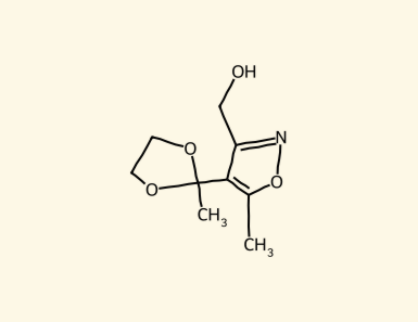 Cc1onc(CO)c1C1(C)OCCO1